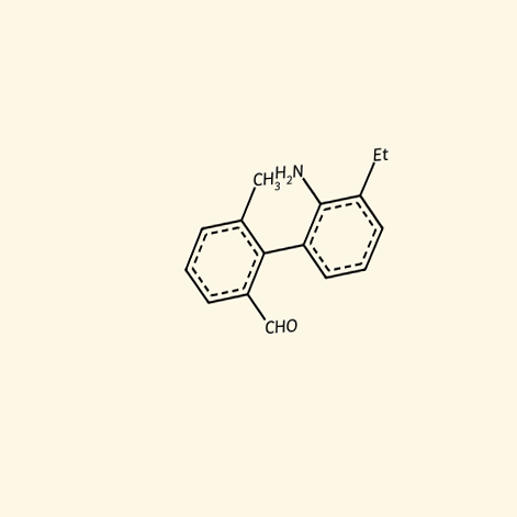 CCc1cccc(-c2c(C)cccc2C=O)c1N